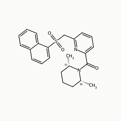 C[C@@H]1CCC[C@H](C)N1C(=O)c1cccc(CS(=O)(=O)c2cccc3ccccc23)n1